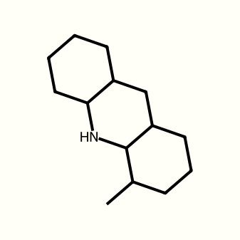 CC1CCCC2CC3CCCCC3NC12